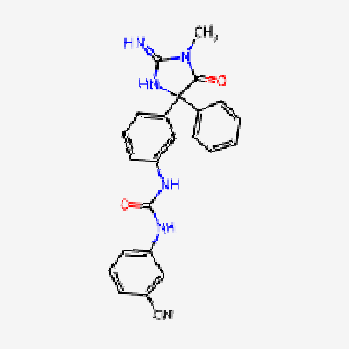 CN1C(=N)NC(c2ccccc2)(c2cccc(NC(=O)Nc3cccc(C#N)c3)c2)C1=O